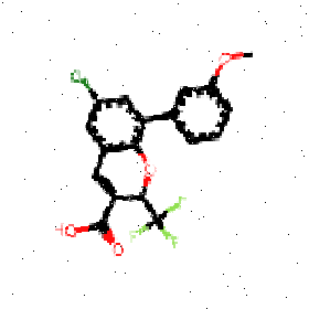 COc1cccc(-c2cc(Cl)cc3c2OC(C(F)(F)F)C(C(=O)O)=C3)c1